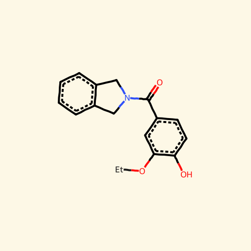 CCOc1cc(C(=O)N2Cc3ccccc3C2)ccc1O